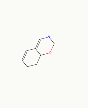 C1=CC2=C[N]COC2CC1